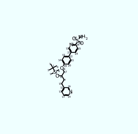 CC(C)(C)[Si](C)(C)OC(CCc1cccnc1)COc1ccc(-c2ccc(S(N)(=O)=O)nc2)cc1